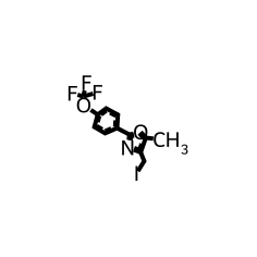 Cc1oc(-c2ccc(OC(F)(F)F)cc2)nc1CI